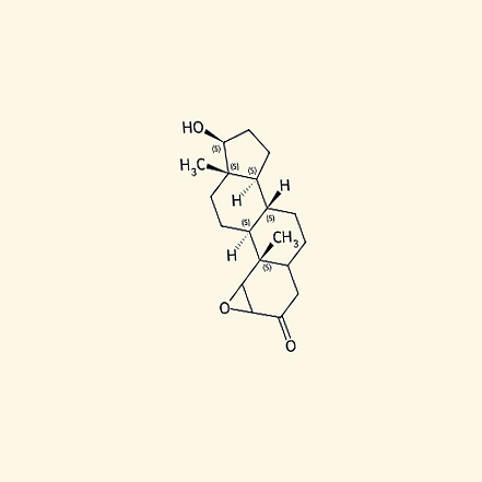 C[C@]12C(CC[C@@H]3[C@@H]1CC[C@]1(C)[C@@H](O)CC[C@@H]31)CC(=O)C1OC12